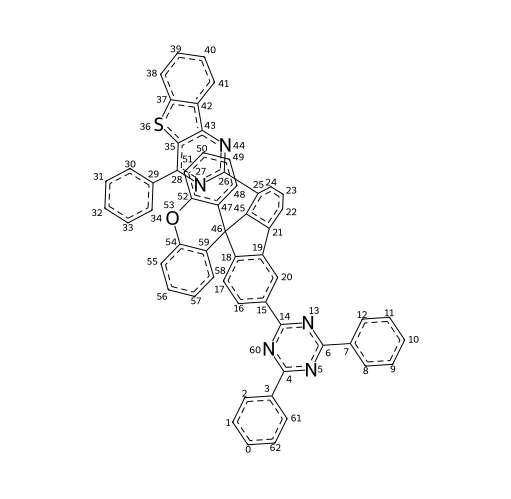 c1ccc(-c2nc(-c3ccccc3)nc(-c3ccc4c(c3)-c3cccc(-c5nc(-c6ccccc6)c6sc7ccccc7c6n5)c3C43c4ccccc4Oc4ccccc43)n2)cc1